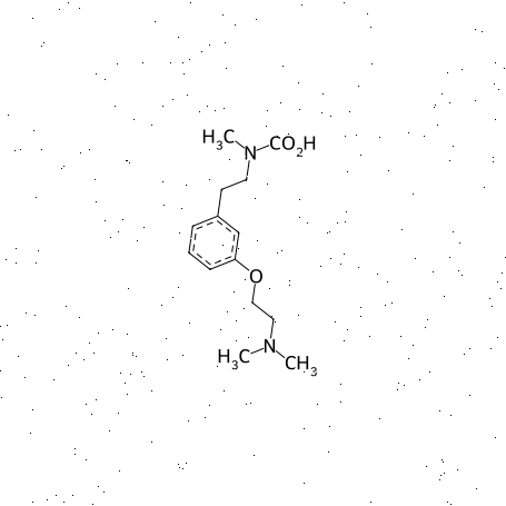 CN(C)CCOc1cccc(CCN(C)C(=O)O)c1